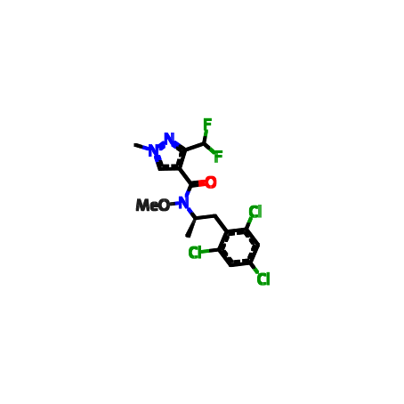 CON(C(=O)c1cn(C)nc1C(F)F)[C@H](C)Cc1c(Cl)cc(Cl)cc1Cl